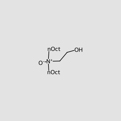 CCCCCCCC[N+]([O-])(CCO)CCCCCCCC